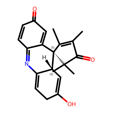 CC1=C(C)[C@@]2(C3=CC(=O)C=CC3=NC3=CCC(O)=C[C@H]32)C(C)(C)C1=O